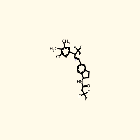 Cc1cc(C(/C=C/c2ccc3c(c2)CCC3NC(=O)CC(F)(F)F)C(F)(F)F)cc(Cl)c1C